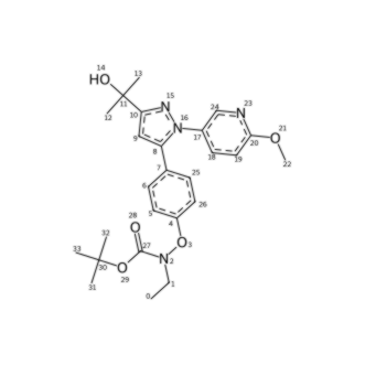 CCN(Oc1ccc(-c2cc(C(C)(C)O)nn2-c2ccc(OC)nc2)cc1)C(=O)OC(C)(C)C